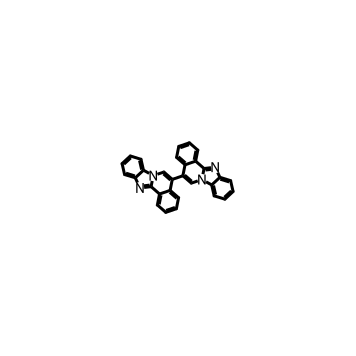 c1ccc2c(c1)nc1c3ccccc3c(-c3cn4c5ccccc5nc4c4ccccc34)cn21